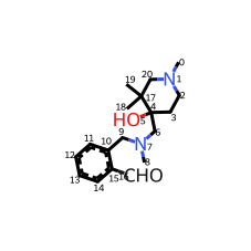 CN1CCC(O)(CN(C)Cc2ccccc2C=O)C(C)(C)C1